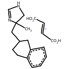 CC1(CC2CCc3ccccc3C2)CNC=N1.O=C(O)/C=C/C(=O)O